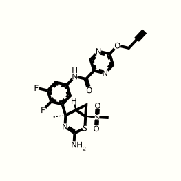 C#CCOc1cnc(C(=O)Nc2cc(F)c(F)c([C@]3(C)N=C(N)S[C@@]4(S(C)(=O)=O)C[C@@H]34)c2)cn1